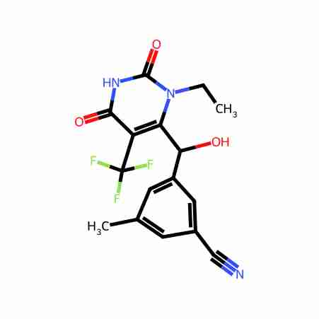 CCn1c(C(O)c2cc(C)cc(C#N)c2)c(C(F)(F)F)c(=O)[nH]c1=O